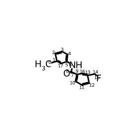 Cc1cccc(NC(=O)c2cccc(CF)c2)c1